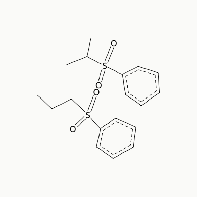 CC(C)S(=O)(=O)c1ccccc1.CCCS(=O)(=O)c1ccccc1